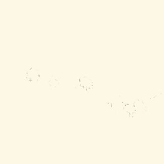 O=COc1ccc2nc(CN3CCC(c4cccc(OCc5ccc(-c6cccnc6)s5)n4)CC3)n(C[C@@H]3CCO3)c2c1